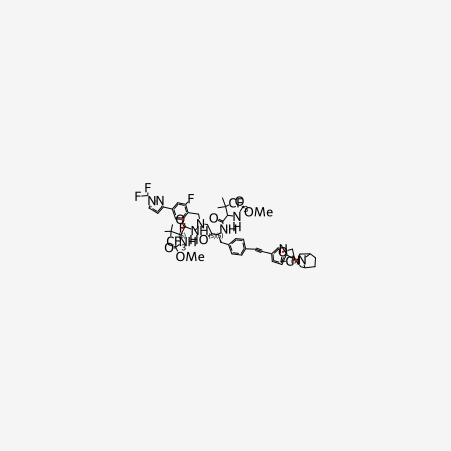 COC(=O)NC(C(=O)N[C@@H](Cc1ccc(C#Cc2ccc(N3CC4CCC(C3)N4[C@H]3CCOC3)nc2)cc1)[C@@H](O)CN(Cc1c(F)cc(-c2ccn(C(F)F)n2)cc1F)NC(=O)[C@@H](NC(=O)OC)C(C)(C)C(F)(F)F)C(C)(C)C(F)(F)F